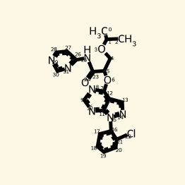 CC(C)OCC(Oc1ncnc2c1cnn2-c1ccccc1Cl)C(=O)Nc1ccncn1